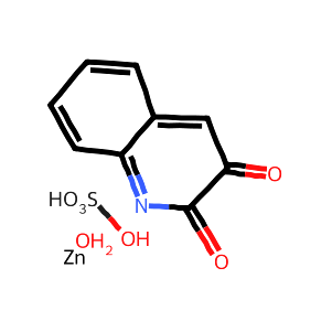 O.O=C1C=c2ccccc2=NC1=O.O=S(=O)(O)O.[Zn]